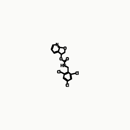 O=C(NCc1c(Cl)cc(Cl)cc1Cl)OC1COc2ncccc21